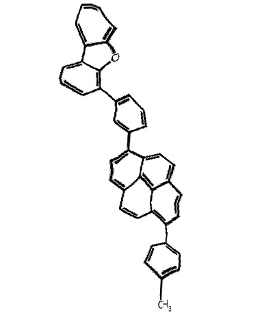 Cc1ccc(-c2ccc3ccc4c(-c5cccc(-c6cccc7c6oc6ccccc67)c5)ccc5ccc2c3c54)cc1